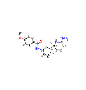 CC(C)Oc1ccc(C(=O)Nc2cccc(C3(C)CCSC(N)=N3)c2)cc1